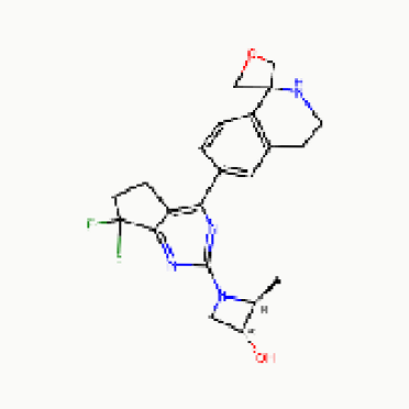 C[C@H]1[C@H](O)CN1c1nc(-c2ccc3c(c2)CCNC32COC2)c2c(n1)C(F)(F)CC2